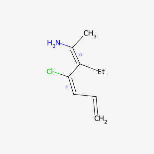 C=C/C=C(Cl)\C(CC)=C(\C)N